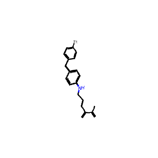 C=C(C)C(=C)CCCNc1ccc(Cc2ccc(CC)cc2)cc1